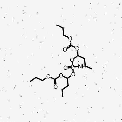 CCCOC(=O)OC(CCC)OP([NH])(=O)OC(CCC)OC(=O)OCCC